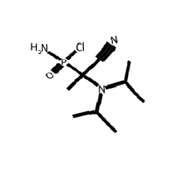 CC(C)N(C(C)C)C(C)(C#N)P(N)(=O)Cl